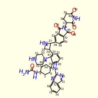 NC(=O)NC1CCC(Nc2ncc3ccccc3n2)(c2cccc(C3CNC3c3ccc4c(c3)C(=O)N(C3CCC(=O)NC3=O)C4=O)c2N2CCNCC2)CC1